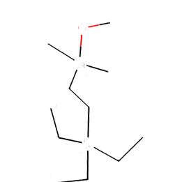 CC[Si](CC)(CC)CC[Si](C)(C)OC